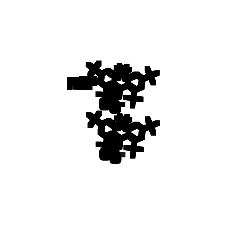 CC(C)(C)c1cc(C(C)(C)C)c(C(C[PH]([O-])([O-])[O-])c2c(C(C)(C)C)cc(C(C)(C)C)cc2C(C)(C)C)c(C(C)(C)C)c1.CC(C)(C)c1cc(C(C)(C)C)c(C(C[PH]([O-])([O-])[O-])c2c(C(C)(C)C)cc(C(C)(C)C)cc2C(C)(C)C)c(C(C)(C)C)c1.[Pt+2].[Pt+2].[Pt+2]